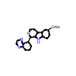 COc1ccc2[nH]c3c(-c4cccc5nccnc45)nccc3c2c1